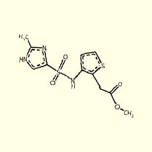 COC(=O)Cc1sccc1NS(=O)(=O)c1c[nH]c(C)n1